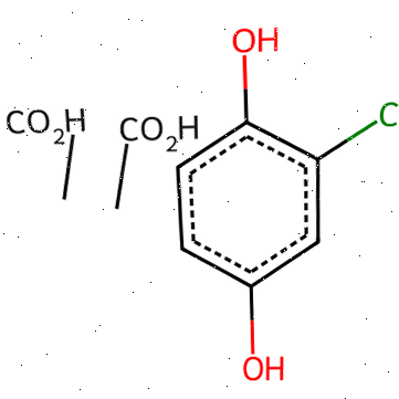 CC(=O)O.CC(=O)O.Oc1ccc(O)c(Cl)c1